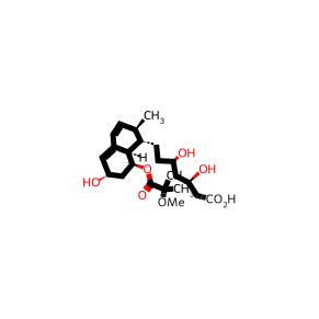 COC(C)(C)C(=O)O[C@H]1C[C@H](O)C=C2C=C[C@@H](C)[C@H](CC[C@@H](O)C[C@@H](O)CC(=O)O)[C@H]21